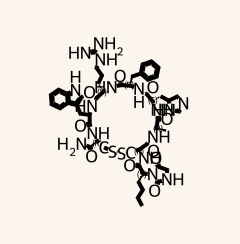 CCCC[C@@H](C(=O)N[C@H]1CSSC[C@@H](C(N)=O)NC(=O)C(Cc2c[nH]c3ccccc23)NC(=O)[C@H](CCCNC(=N)N)NC(=O)[C@@H](Cc2ccccc2)NC(=O)[C@H](CC2CN=CN2)NC(=O)[C@@H](C)NC1=O)N1C(=O)CNC1=O